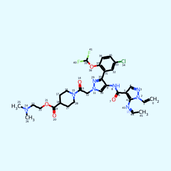 C=Cn1ncc(C(=O)Nc2cn(CC(=O)N3CCC(C(=O)OCCN(C)C)CC3)nc2-c2cc(Cl)ccc2OC(F)F)c1/N=C\C